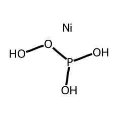 OOP(O)O.[Ni]